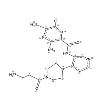 NCCC(=O)N1CCN(c2ccncc2NC(=O)c2nc(Cl)c(N)nc2N)CC1